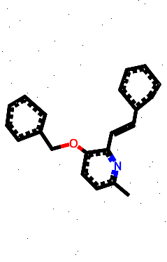 Cc1ccc(OCc2ccccc2)c(C=Cc2ccccc2)n1